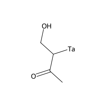 CC(=O)[CH]([Ta])CO